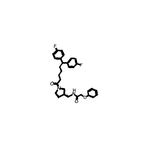 O=C(COc1ccccc1)NCC1CCN(C(=O)CCCCC(c2ccc(F)cc2)c2ccc(F)cc2)C1